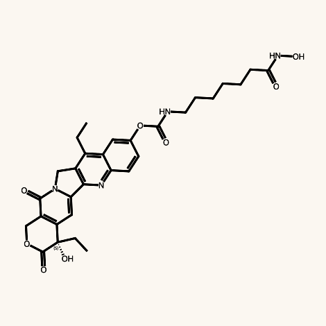 CCc1c2c(nc3ccc(OC(=O)NCCCCCCC(=O)NO)cc13)-c1cc3c(c(=O)n1C2)COC(=O)[C@]3(O)CC